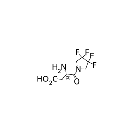 N[C@@H](CC(=O)O)C(=O)N1CC(F)(F)C(F)(F)C1